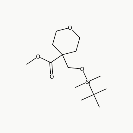 COC(=O)C1(CO[Si](C)(C)C(C)(C)C)CCOCC1